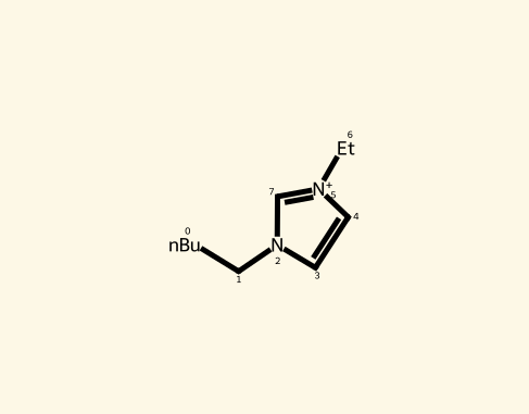 CCCCCn1cc[n+](CC)c1